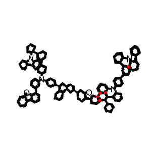 c1ccc(-c2ccccc2-c2ccccc2N(c2ccc(-c3cccc(-c4ccccc4-n4c5ccccc5c5ccccc54)c3)cc2)c2cccc(-c3cccc4c3oc3cc(-c5ccc6cc(-c7ccc(N(c8ccc(-c9cccc(-c%10ccccc%10-n%10c%11ccccc%11c%11ccccc%11%10)c9)cc8)c8cccc(-c9cccc%10c9oc9ccccc9%10)c8)cc7)c7ccccc7c6c5)ccc34)c2)cc1